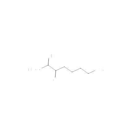 CCCCCCCCCCCCC(O)C(O)CCCCCC